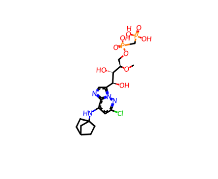 CO[C@H](COP(=O)(O)CP(=O)(O)O)[C@@H](O)[C@@H](O)c1cnc2c(NC34CCC(CC3)C4)cc(Cl)nn12